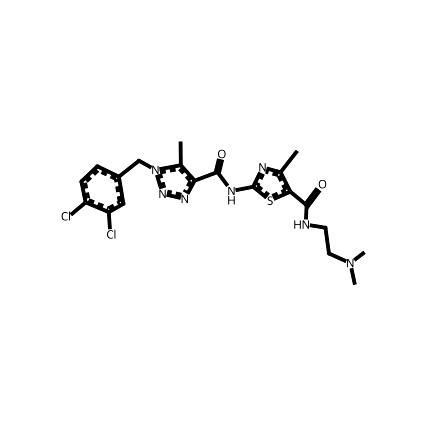 Cc1nc(NC(=O)c2nnn(Cc3ccc(Cl)c(Cl)c3)c2C)sc1C(=O)NCCN(C)C